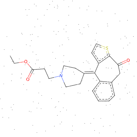 CCOC(=O)CCN1CCC(=C2c3ccccc3CC(=O)c3sccc32)CC1